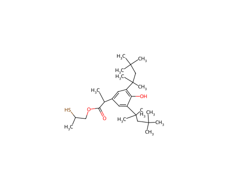 CC(S)COC(=O)C(C)c1cc(C(C)(C)CC(C)(C)C)c(O)c(C(C)(C)CC(C)(C)C)c1